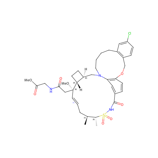 COC(=O)CNC(=O)C[C@]1(OC)/C=C/C[C@H](C)[C@@H](C)S(=O)(=O)NC(=O)c2ccc3c(c2)N(CCCCc2cc(Cl)ccc2CO3)C[C@@H]2CC[C@H]21